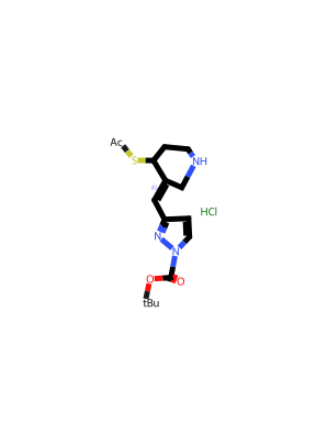 CC(=O)SC1CCNC/C1=C\c1ccn(C(=O)OC(C)(C)C)n1.Cl